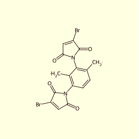 [CH2]c1ccc(N2C(=O)C=C(Br)C2=O)c([CH2])c1N1C(=O)C=C(Br)C1=O